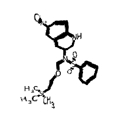 [C-]#[N+]c1ccc2c(c1)CC(N(COCC[Si](C)(C)C)S(=O)(=O)c1ccccc1)CN2